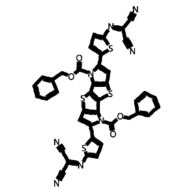 N#CC(C#N)=Nc1ccc(-c2cc3sc4c(sc5cc(-c6ccc(N=C(C#N)C#N)s6)n(C(=O)OCc6ccccc6)c54)c3n2C(=O)OCc2ccccc2)s1